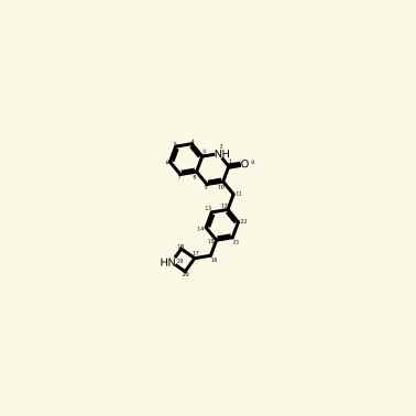 O=c1[nH]c2ccccc2cc1Cc1ccc(CC2CNC2)cc1